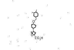 Cc1ccc(COc2ccc(-c3cc(C(=O)O)on3)cc2)cc1C